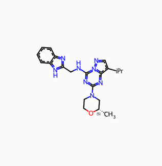 CC(C)c1cnn2c(NCc3nc4ccccc4[nH]3)nc(N3CCO[C@@H](C)C3)nc12